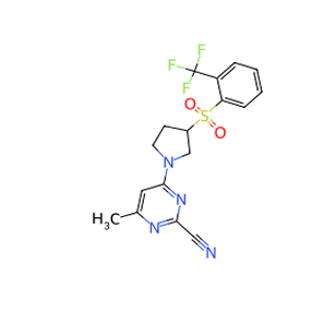 Cc1cc(N2CCC(S(=O)(=O)c3ccccc3C(F)(F)F)C2)nc(C#N)n1